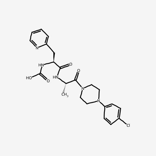 C[C@H](NC(=O)[C@H](Cc1ccccn1)NC(=O)O)C(=O)N1CCN(c2ccc(Cl)cc2)CC1